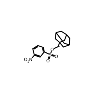 O=[N+]([O-])c1cccc(S(=O)(=O)O[CH]C23CC4CC(CC(C4)C2)C3)c1